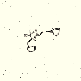 CC(C#N)(C#N)C(=Cc1ccccc1)N=NC=Cc1ccccc1